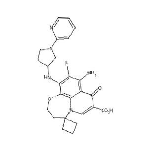 Nc1c(F)c(NC2CCN(c3ccccn3)C2)c2c3c1c(=O)c(C(=O)O)cn3C1(CCC1)CCO2